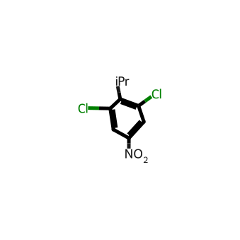 CC(C)c1c(Cl)cc([N+](=O)[O-])cc1Cl